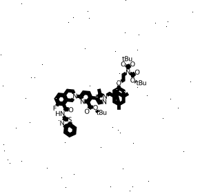 Cc1c(-c2ccc(N3CCc4ccc(F)c(C(=O)Nc5nc6ccccc6s5)c4C3)nc2C(=O)OC(C)(C)C)cnn1CC12CC3(C)CC(C)(C1)CC(OCCN(C(=O)OC(C)(C)C)C(=O)OC(C)(C)C)(C3)C2